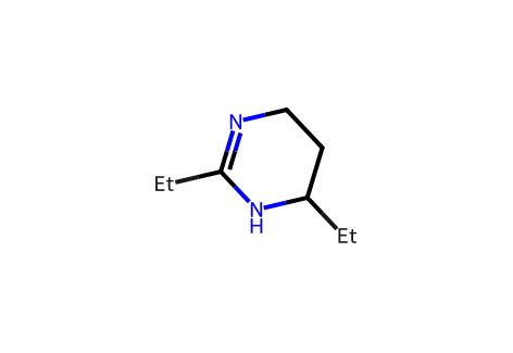 CCC1=NCCC(CC)N1